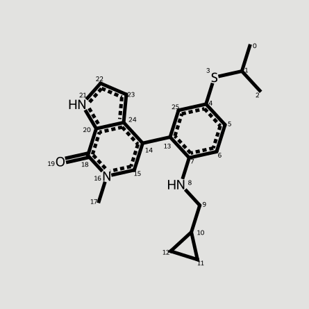 CC(C)Sc1ccc(NCC2CC2)c(-c2cn(C)c(=O)c3[nH]ccc23)c1